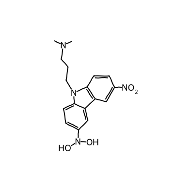 CN(C)CCCn1c2ccc(N(O)O)cc2c2cc([N+](=O)[O-])ccc21